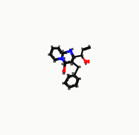 C=CC(O)c1nc2ccccn2c(=O)c1Cc1ccccc1